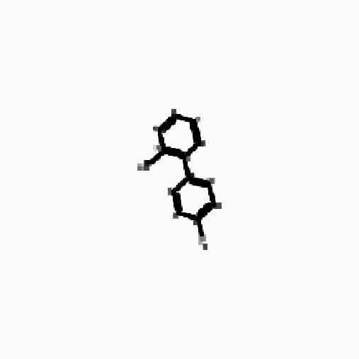 Fc1ccc(-c2[c]cccc2F)cc1